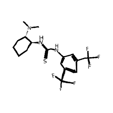 CN(C)[C@H]1CCCC[C@@H]1NC(=S)Nc1cc(C(F)(F)F)cc(C(F)(F)F)c1